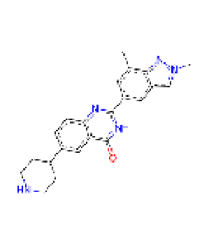 Cc1cc(-c2nc3ccc(C4CCNCC4)cc3c(=O)[nH]2)cc2cn(C)nc12